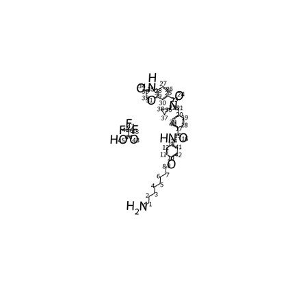 NCCCCCCCCOc1ccc(NC(=O)c2ccc(CN(C(=O)c3ccc4c(c3)OCC(=O)N4)C3CC3)cc2)cc1.O=C(O)C(F)(F)F